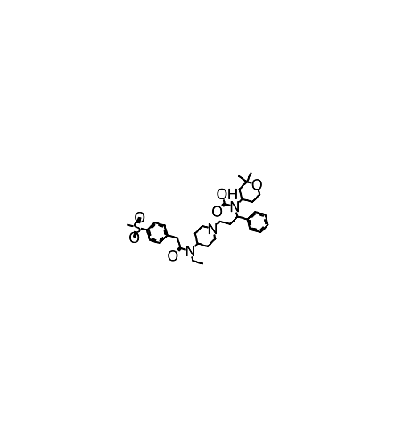 CCN(C(=O)Cc1ccc(S(C)(=O)=O)cc1)C1CCN(CCC(c2ccccc2)N(C(=O)O)C2CCOC(C)(C)C2)CC1